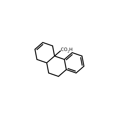 O=C(O)C12CC=CCC1CCc1ccccc12